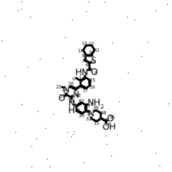 Cc1c(NC(=O)c2cc3c(s2)CCCC3)cccc1-c1cn(C)c(=O)c(Nc2ccc(N3CCC(C(=O)O)CC3)c(N)c2)n1